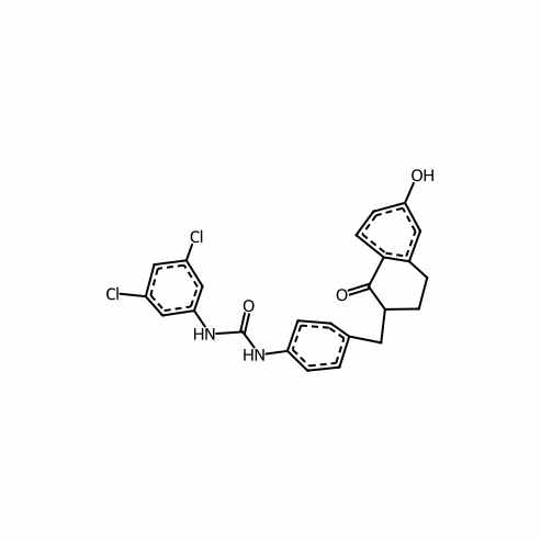 O=C(Nc1ccc(CC2CCc3cc(O)ccc3C2=O)cc1)Nc1cc(Cl)cc(Cl)c1